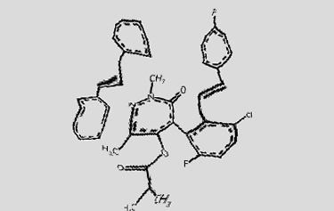 C(=Cc1ccccc1)c1ccccc1.Cc1nn(C)c(=O)c(-c2c(F)ccc(Cl)c2/C=C/c2ccc(F)cc2)c1OC(=O)C(C)C